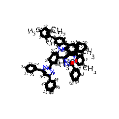 Cc1cc(C)c(-c2ccc3c4ccc(-c5c(C)cc(C)cc5C)cc4n(-c4ccc(-c5nc(-c6ccccc6)cc(-c6ccccc6)n5)cc4-c4cc(-c5ccccc5)nc(-c5ccccc5)n4)c3c2)c(C)c1